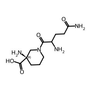 NC(=O)CCC(N)C(=O)N1CCC[C@](N)(C(=O)O)C1